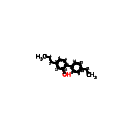 CCCc1ccc(-c2ccc(CC)cc2)c(O)c1